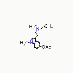 C=CCN(C)CCc1cn(C)c2ccc(OC(C)=O)cc12